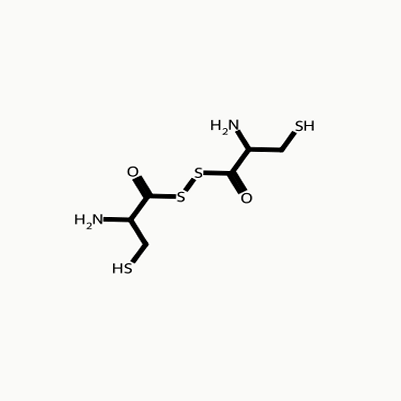 NC(CS)C(=O)SSC(=O)C(N)CS